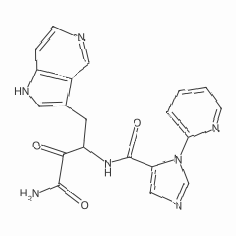 NC(=O)C(=O)C(Cc1c[nH]c2ccncc12)NC(=O)c1cncn1-c1ccccn1